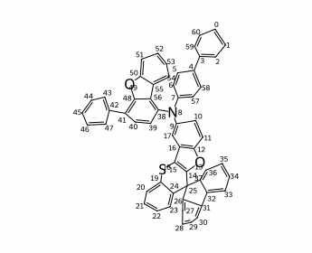 c1ccc(-c2ccc(N(c3ccc4oc5c(c4c3)Sc3ccccc3C53c4ccccc4-c4ccccc43)c3ccc(-c4ccccc4)c4oc5ccccc5c34)cc2)cc1